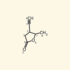 C#CC1CC(=O)OC1C